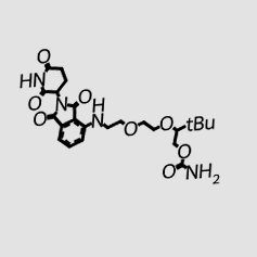 CC(C)(C)C(COC(N)=O)OCCOCCNc1cccc2c1C(=O)N(C1CCC(=O)NC1=O)C2=O